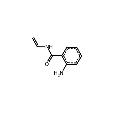 C=CNC(=O)c1ccccc1N